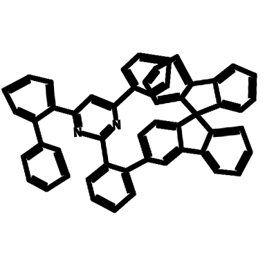 c1ccc(-c2cc(-c3ccccc3-c3ccccc3)nc(-c3ccccc3-c3ccc4c(c3)-c3ccccc3C43c4ccccc4-c4ccccc43)n2)cc1